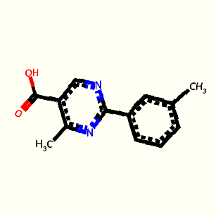 Cc1cccc(-c2ncc(C(=O)O)c(C)n2)c1